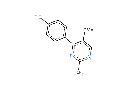 COc1cnc(C(F)(F)F)nc1-c1ccc(C(F)(F)F)cc1